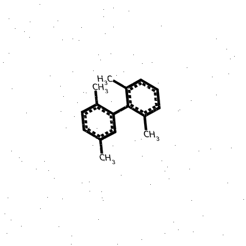 Cc1ccc(C)c(-c2c(C)cccc2C)c1